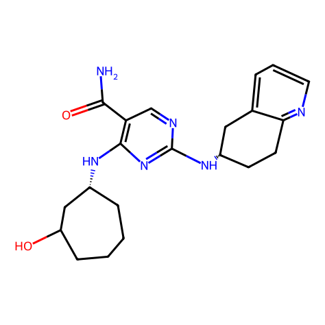 NC(=O)c1cnc(N[C@H]2CCc3ncccc3C2)nc1N[C@@H]1CCCCC(O)C1